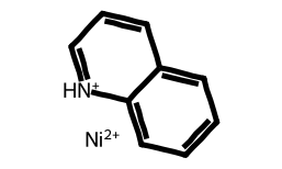 [Ni+2].c1ccc2[nH+]cccc2c1